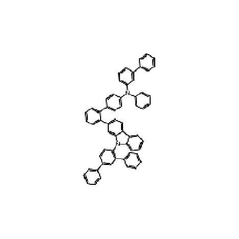 c1ccc(-c2cccc(N(c3ccccc3)c3ccc(-c4ccccc4-c4ccc5c6ccccc6n(-c6ccc(-c7ccccc7)cc6-c6ccccc6)c5c4)cc3)c2)cc1